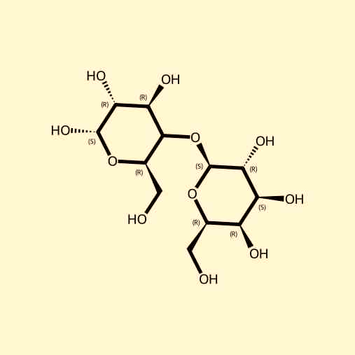 OC[C@H]1O[C@H](O)[C@H](O)[C@@H](O)C1O[C@@H]1O[C@H](CO)[C@H](O)[C@H](O)[C@H]1O